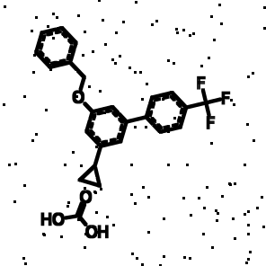 FC(F)(F)c1ccc(-c2cc(OCc3ccccc3)cc(C3CC3)c2)cc1.O=C(O)O